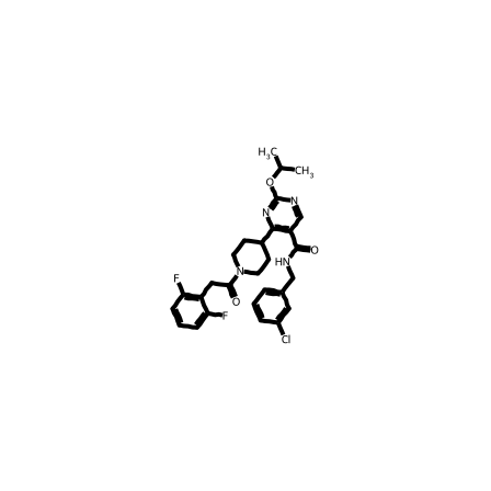 CC(C)Oc1ncc(C(=O)NCc2cccc(Cl)c2)c(C2CCN(C(=O)Cc3c(F)cccc3F)CC2)n1